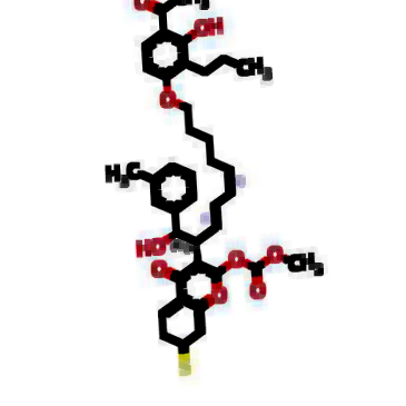 CCCc1c(OCCCC/C=C\C=C\[C@@H](c2c(OC(=O)OC)oc3c(c2=O)=CCC(=S)C=3)[C@@H](O)c2cccc(C)c2)ccc(C(C)=O)c1O